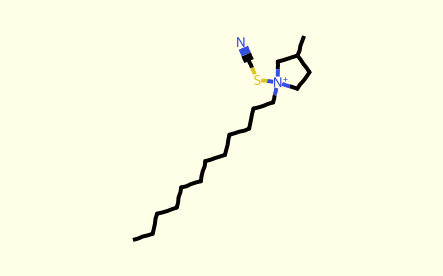 CCCCCCCCCCCC[N+]1(SC#N)CCC(C)C1